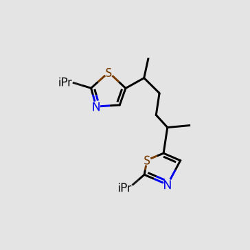 CC(C)c1ncc(C(C)CCC(C)c2cnc(C(C)C)s2)s1